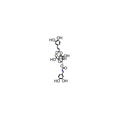 O=C(/C=C/c1ccc(O)c(O)c1)OC[C@@H]1O[C@]2(C(=O)O)C[C@H](OC(=O)/C=C/c3ccc(O)c(O)c3)[C@@H](O)[C@H]1O2